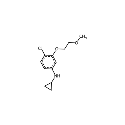 COCCOc1cc(NC2CC2)ccc1Cl